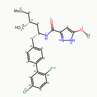 CCOc1cc(C(=O)N[C@H](Cc2ccc(-c3cc(Cl)ccc3F)cc2)C[C@@H](COC)C(=O)O)n[nH]1